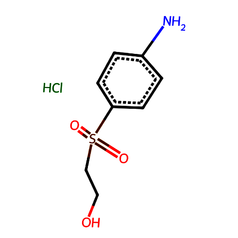 Cl.Nc1ccc(S(=O)(=O)CCO)cc1